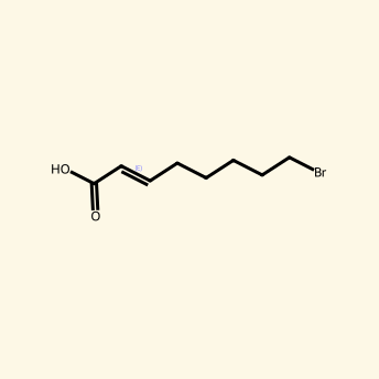 O=C(O)/C=C/CCCCCBr